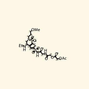 CCN[C@H]1CN(CCCOC)S(=O)(=O)c2sc(S(=O)(=O)NC(=O)CNC(=O)COC(=O)COC(C)=O)cc21